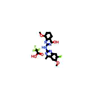 COc1cc2c(C)nc(Nc3nc(O)c4cccc(OC)c4n3)nc2cc1F.O=C(O)C(F)(F)F